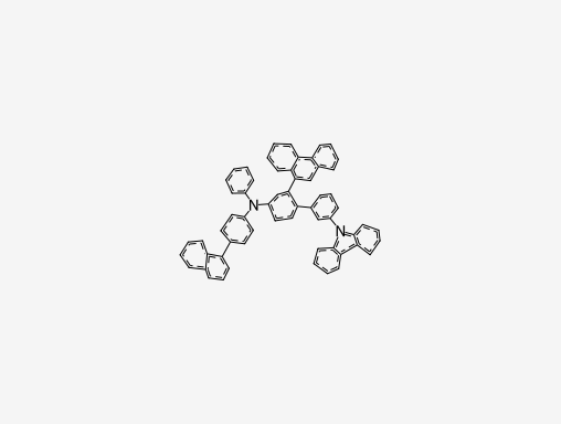 c1ccc(N(c2ccc(-c3cccc4ccccc34)cc2)c2ccc(-c3cccc(-n4c5ccccc5c5ccccc54)c3)c(-c3cc4ccccc4c4ccccc34)c2)cc1